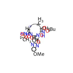 COc1ccc2nc(C)c(O[C@@H]3C[C@H]4C(=O)N[C@]5(C(=O)NS(=O)(=O)C6(C)CC6)C[C@@H]5/C=C\CC[C@@H](C)C[C@@H](C)[C@H](NC(=O)OC(C)(C)C)C(=O)N4C3)nc2c1